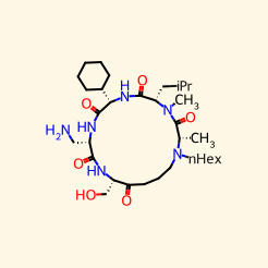 CCCCCCN1CCCC(=O)[C@H](CO)NC(=O)[C@H](CN)NC(=O)[C@H](C2CCCCC2)NC(=O)[C@H](CC(C)C)N(C)C(=O)[C@@H]1C